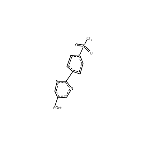 CCCCCCCCc1cnc(-c2ccc(S(=O)(=O)C(F)(F)F)cc2)nc1